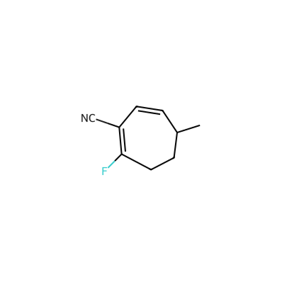 CC1C=CC(C#N)=C(F)CC1